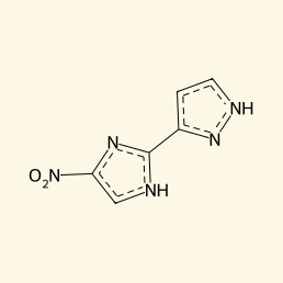 O=[N+]([O-])c1c[nH]c(-c2cc[nH]n2)n1